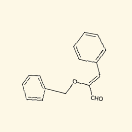 O=CC(=Cc1ccccc1)OCc1ccccc1